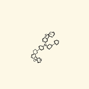 C1=C(c2ccc(N(c3cccc(-c4ccccc4)c3)c3ccc4sc5ccccc5c4c3)cc2)CCc2ccc3oc4ccncc4c3c21